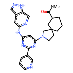 CNC(=O)C1CCCC2(CCN(c3cc(Nc4cc5cn[nH]c5cn4)nc(-c4cccnc4)n3)C2)C1